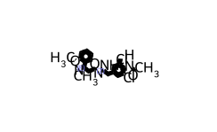 C/N=C(\CC(=O)/N=C(\N)Cc1cc(Cl)c(NC(C)=O)c(Cl)c1)c1ccccc1OC